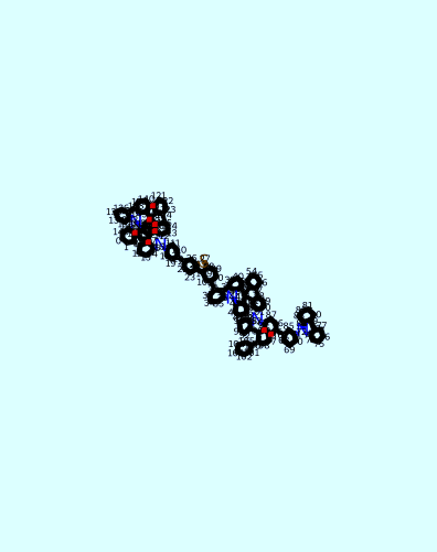 c1ccc(-c2ccccc2-c2ccccc2N(c2ccc(-c3ccc4c(c3)sc3ccc(-c5cccc6c5c5cccc7c5n6-c5ccccc5C75c6ccccc6-c6ccc(N(c7ccc(-c8cccc(-n9c%10ccccc%10c%10ccccc%109)c8)cc7)c7ccccc7-c7ccccc7-c7ccccc7)cc65)cc34)cc2)c2ccc3c(c2)C2(c4ccccc4-3)c3ccccc3-n3c4ccccc4c4cccc2c43)cc1